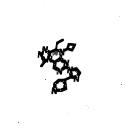 CC[C@@H]1c2nnc(C)n2-c2cnc(-n3ccnc3-c3ccncc3)nc2N1C1CCC1